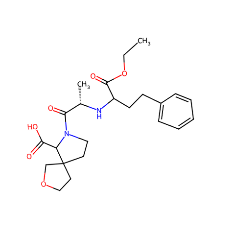 CCOC(=O)C(CCc1ccccc1)N[C@@H](C)C(=O)N1CCC2(CCOC2)C1C(=O)O